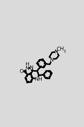 CN1CCN(Cc2cccc(C3c4n[nH]c(=O)c5cccc(c45)NC3c3ccccc3)c2)CC1